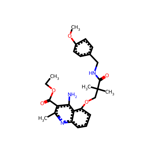 CCOC(=O)c1c(C)nc2cccc(OCC(C)(C)C(=O)NCc3ccc(OC)cc3)c2c1N